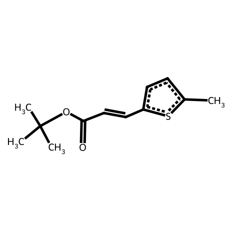 Cc1ccc(/C=C/C(=O)OC(C)(C)C)s1